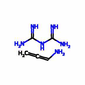 C=C=CN.N=C(N)NC(=N)N